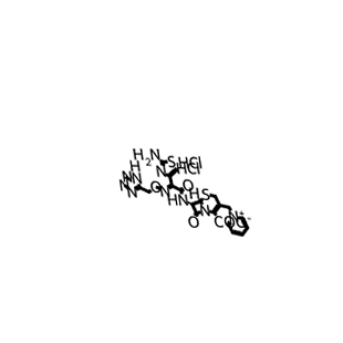 Cl.Cl.Nc1nc(C(=NOCc2nnn[nH]2)C(=O)N[C@@H]2C(=O)N3C(C(=O)[O-])=C(C[n+]4ccccc4)CS[C@@H]23)cs1